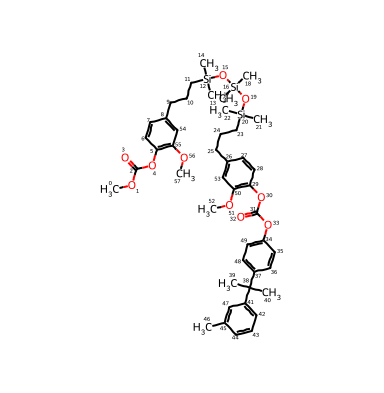 COC(=O)Oc1ccc(CCC[Si](C)(C)O[Si](C)(C)O[Si](C)(C)CCCc2ccc(OC(=O)Oc3ccc(C(C)(C)c4cccc(C)c4)cc3)c(OC)c2)cc1OC